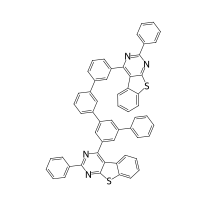 c1ccc(-c2cc(-c3cccc(-c4cccc(-c5nc(-c6ccccc6)nc6sc7ccccc7c56)c4)c3)cc(-c3nc(-c4ccccc4)nc4sc5ccccc5c34)c2)cc1